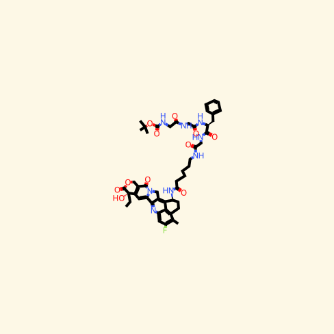 CC[C@@]1(O)C(=O)OCc2c1cc1n(c2=O)Cc2c-1nc1cc(F)c(C)c3c1c2[C@@H](NC(=O)CCCCCNC(=O)CNC(=O)[C@H](Cc1ccccc1)NC(=O)CNC(=O)CNC(=O)OC(C)(C)C)CC3